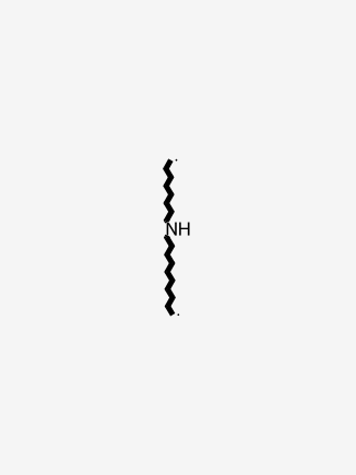 [CH2]CCCCCCCCCNCCCCCCC[CH2]